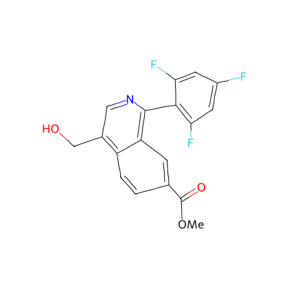 COC(=O)c1ccc2c(CO)cnc(-c3c(F)cc(F)cc3F)c2c1